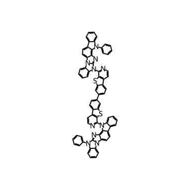 c1ccc(-n2c3ccccc3c3ccc4c(nc5n(-c6nccc7c6sc6cc(-c8ccc9c(c8)sc8c(-n%10c%11ccccc%11c%11ccc%12c(nc%13n(-c%14ccccc%14)c%14ccccc%14n%12%13)c%11%10)nccc89)ccc67)c6ccccc6n45)c32)cc1